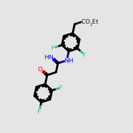 CCOC(=O)Cc1cc(F)c(NC(=N)CC(=O)c2ccc(F)cc2F)c(F)c1